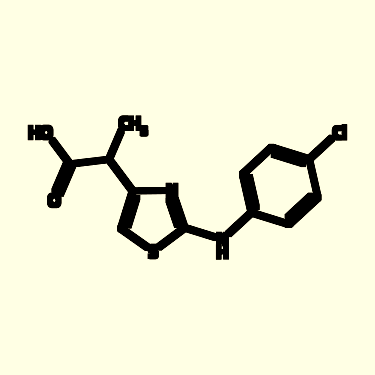 CC(C(=O)O)c1csc(Nc2ccc(Cl)cc2)n1